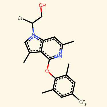 CCC(CO)n1cc(C)c2c(Oc3c(C)cc(C(F)(F)F)cc3C)nc(C)cc21